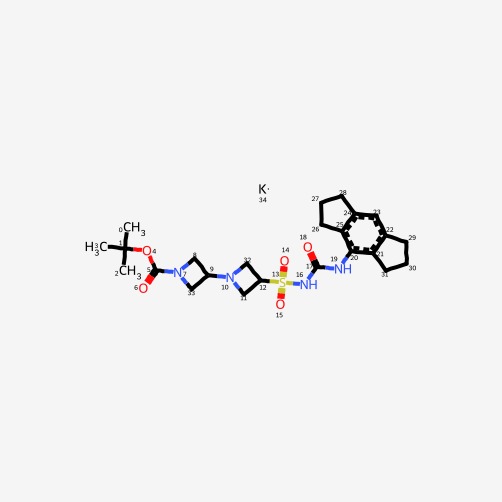 CC(C)(C)OC(=O)N1CC(N2CC(S(=O)(=O)NC(=O)Nc3c4c(cc5c3CCC5)CCC4)C2)C1.[K]